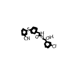 N#Cc1cccc(Sc2ccc(CC(=O)NCC(O)c3cccc(Cl)c3)cc2)c1